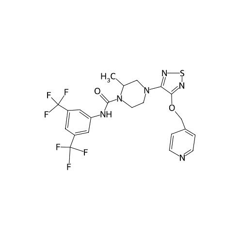 CC1CN(c2nsnc2OCc2ccncc2)CCN1C(=O)Nc1cc(C(F)(F)F)cc(C(F)(F)F)c1